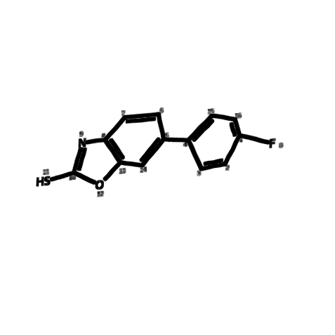 Fc1ccc(-c2ccc3nc(S)oc3c2)cc1